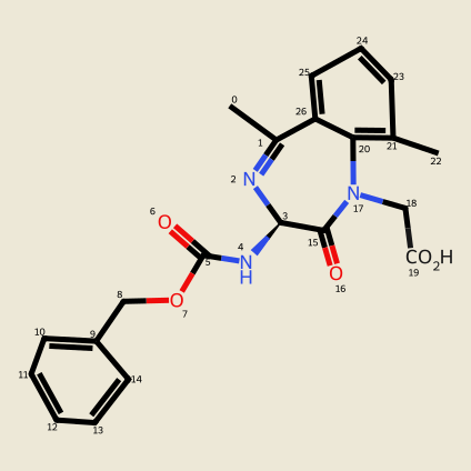 CC1=N[C@H](NC(=O)OCc2ccccc2)C(=O)N(CC(=O)O)c2c(C)cccc21